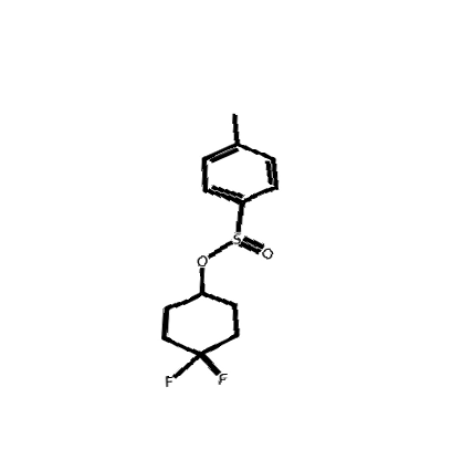 Cc1ccc(S(=O)OC2CCC(F)(F)CC2)cc1